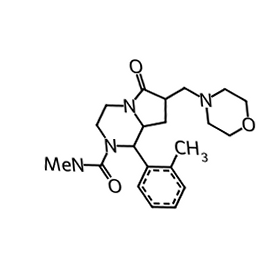 CNC(=O)N1CCN2C(=O)C(CN3CCOCC3)CC2C1c1ccccc1C